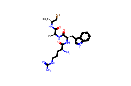 CC(C)[C@H](NC(=O)[C@H](Cc1c[nH]c2ccccc12)NC(=O)[C@@H](N)CCCNC(=N)N)C(=O)N[C@@H](CS)C(=O)O